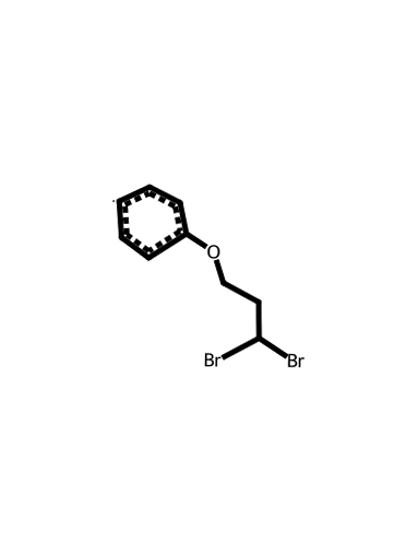 BrC(Br)CCOc1cc[c]cc1